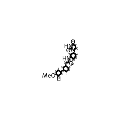 COc1ccc(-c2cccc(CC(=O)Nc3cccc(-n4ccc(=O)[nH]c4=O)c3)c2)cc1Cl